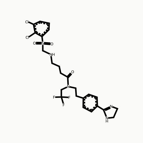 O=C(CCCNCS(=O)(=O)c1cccc(Cl)c1Cl)N(CCc1ccc(C2=NCCN2)cc1)CC(F)(F)F